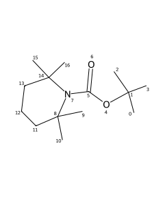 CC(C)(C)OC(=O)N1C(C)(C)CCCC1(C)C